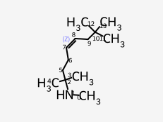 CNC(C)(C)CC/C=C\CC(C)(C)C